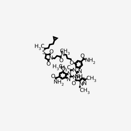 CCn1nc(C)cc1C(=O)Nc1nc2cc(C(N)=O)cc(OC)c2n1C(C)n1c(N)nc2cc(C(N)=O)cc(OCCCN(C)C(=O)CCN3C(=O)CC(SC(C)CCCC4CC4)C3=O)c21